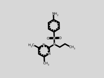 CCCN(c1nc(C)cc(C)n1)S(=O)(=O)c1ccc(N)cc1